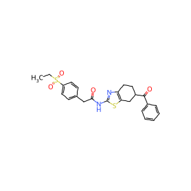 CCS(=O)(=O)c1ccc(CC(=O)Nc2nc3c(s2)CC(C(=O)c2ccccc2)CC3)cc1